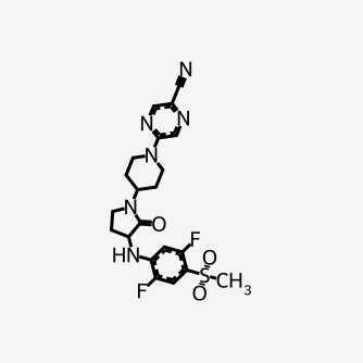 CS(=O)(=O)c1cc(F)c(NC2CCN(C3CCN(c4cnc(C#N)cn4)CC3)C2=O)cc1F